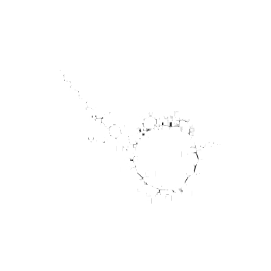 CCOCCOCCOCCNC(=O)O[C@@H]1CC[C@@H](C[C@@H](N)[C@@H]2CC(=O)[C@H](C)/C=C(\C)[C@@H](O)[C@@H](O)C(=O)[C@H](C)C[C@H](C)/C=C/C=C/C=C(\C)[C@@H](OC)C[C@@H]3CC[C@@H](C)[C@@](O)(O3)C(=O)C(=O)N3CCCC[C@H]3C(=O)O2)C[C@H]1OC